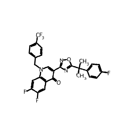 CC(C)(c1ccc(F)cc1)c1nc(-c2cn(Cc3ccc(C(F)(F)F)cc3)c3cc(F)c(F)cc3c2=O)no1